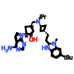 CC(C)N(C[C@@H]1C[C@@H](O)[C@H](n2ccc3c(N)ncnc32)C1)[C@H]1C[C@@H](CCC2Nc3ccc(C(C)(C)C)cc3N2C)C1